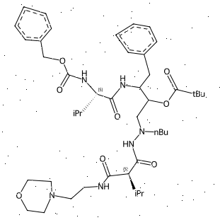 CCCCN(CC(OC(=O)C(C)(C)C)C(Cc1ccccc1)NC(=O)[C@@H](NC(=O)OCc1ccccc1)C(C)C)NC(=O)[C@H](C(=O)NCCN1CCOCC1)C(C)C